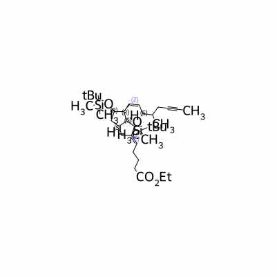 CC#CCC(C)[C@@H](/C=C\[C@H]1[C@H]2C/C(=C/CCCC(=O)OCC)C[C@H]2C[C@H]1O[Si](C)(C)C(C)(C)C)O[Si](C)(C)C(C)(C)C